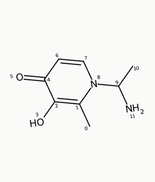 Cc1c(O)c(=O)ccn1C(C)N